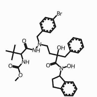 COC(=O)NC(C(=O)NN(CCC(O)(Cc1ccccc1)C(=O)N(O)C1CCc2ccccc21)Cc1ccc(Br)cc1)C(C)(C)C